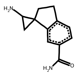 NC(=O)c1ccc2c(c1)C1(CC2)CC1N